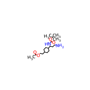 CC(=O)OCCC1CCC(C(CCN)NC(=O)OC(C)(C)C)CC1